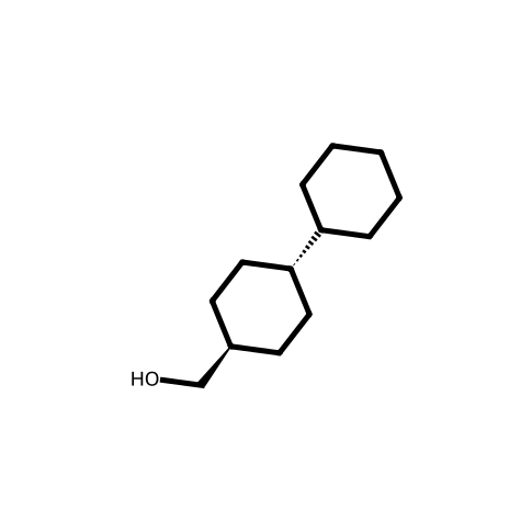 OC[C@H]1CC[C@H](C2CCCCC2)CC1